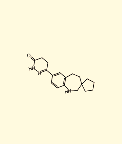 O=C1CCC(c2ccc3c(c2)CCC2(CCCC2)CN3)=NN1